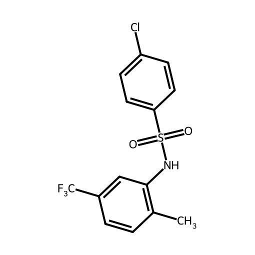 Cc1ccc(C(F)(F)F)cc1NS(=O)(=O)c1ccc(Cl)cc1